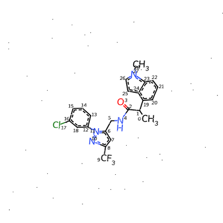 CC(C(=O)NCc1cc(C(F)(F)F)nn1-c1cccc(Cl)c1)c1cccc2c1ccn2C